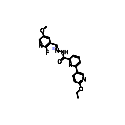 CCOc1ccc(-c2cccc(C(=O)N/N=C/c3cc(OC)cnc3F)n2)cn1